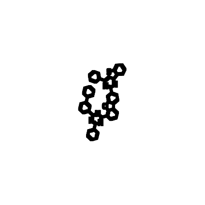 c1ccc(-c2cccc(-c3nc(-c4ccccc4)nc(-c4cccc5c4oc4cc(-c6nc(-c7ccccc7)c7sc8ccccc8c7n6)ccc45)n3)c2)cc1